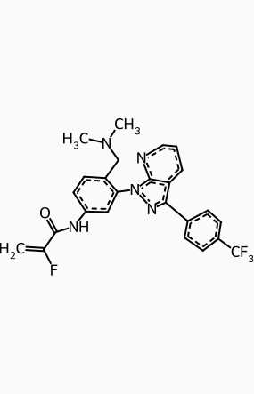 C=C(F)C(=O)Nc1ccc(CN(C)C)c(-n2nc(-c3ccc(C(F)(F)F)cc3)c3cccnc32)c1